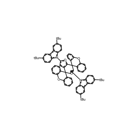 CC(C)(C)c1ccc2c(c1)c1cc(C(C)(C)C)ccc1n2-c1cc2c(o1)C1(c3ccccc3Oc3ccccc31)c1cc(-n3c4ccc(C(C)(C)C)cc4c4cc(C(C)(C)C)ccc43)oc1C21c2ccccc2Oc2ccccc21